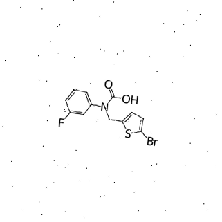 O=C(O)N(Cc1ccc(Br)s1)c1cccc(F)c1